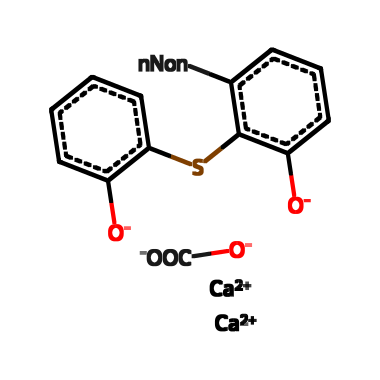 CCCCCCCCCc1cccc([O-])c1Sc1ccccc1[O-].O=C([O-])[O-].[Ca+2].[Ca+2]